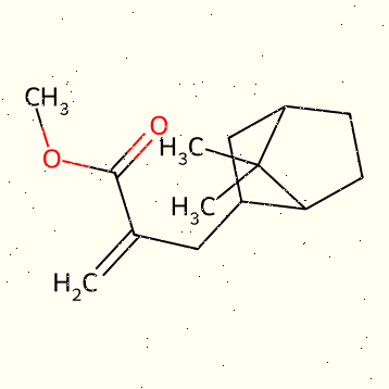 C=C(CC1CC2CCC1C2(C)C)C(=O)OC